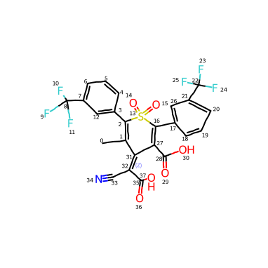 CC1=C(c2cccc(C(F)(F)F)c2)S(=O)(=O)C(c2cccc(C(F)(F)F)c2)=C(C(=O)O)/C1=C(/C#N)C(=O)O